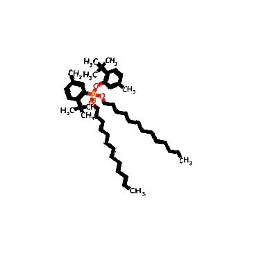 CCCCCCCCCCCCCO[PH](OCCCCCCCCCCCCC)(Oc1cc(C)ccc1C(C)(C)C)c1cc(C)ccc1C(C)(C)C